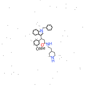 COc1cccc(C(CC(=O)NCCC2CCNCC2)c2cn(Cc3ccccc3)c3ccccc23)c1